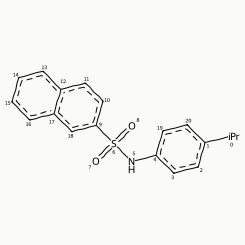 CC(C)c1ccc(NS(=O)(=O)c2ccc3ccccc3c2)cc1